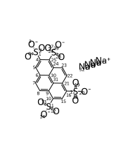 O=S(=O)([O-])c1cc2ccc3c(S(=O)(=O)[O-])cc(S(=O)(=O)[O-])c4ccc(c1S(=O)(=O)[O-])c2c34.[Na+].[Na+].[Na+].[Na+]